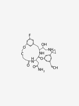 C#Cc1cccc(C2(NCC(O)C3Cc4cc(F)cc(c4)OCCCCC(=O)NC(CC(N)=O)C(=O)N3)CC2)c1